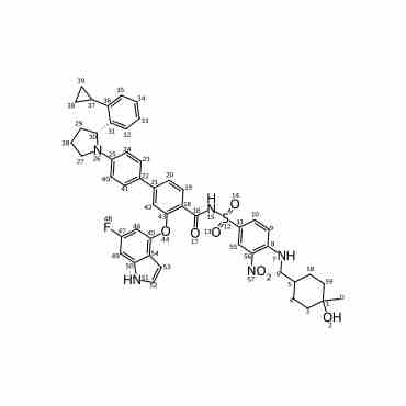 CC1(O)CCC(CNc2ccc(S(=O)(=O)NC(=O)c3ccc(-c4ccc(N5CCC[C@@H]5c5ccccc5C5CC5)cc4)cc3Oc3cc(F)cc4[nH]ccc34)cc2[N+](=O)[O-])CC1